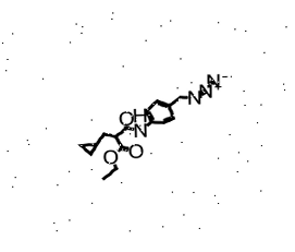 CCOC(=O)C(CC1CC1)C(=O)Nc1ccc(CN=[N+]=[N-])cc1